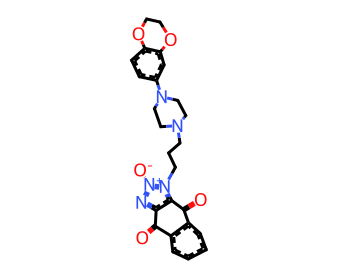 O=C1c2ccccc2C(=O)c2c1n[n+]([O-])n2CCCN1CCN(c2ccc3c(c2)OCCO3)CC1